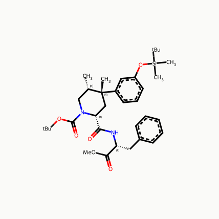 COC(=O)[C@@H](Cc1ccccc1)NC(=O)[C@H]1C[C@@](C)(c2cccc(O[Si](C)(C)C(C)(C)C)c2)[C@@H](C)CN1C(=O)OC(C)(C)C